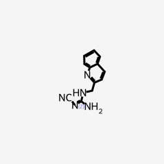 N#C/N=C(/N)NCc1ccc2ccccc2n1